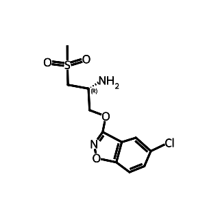 CS(=O)(=O)C[C@H](N)COc1noc2ccc(Cl)cc12